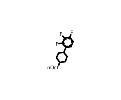 CCCCCCCCC1CCC(c2ccc(F)c(F)c2F)CC1